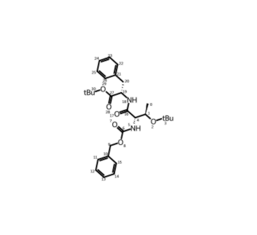 C[C@@H](OC(C)(C)C)[C@H](NC(=O)OCc1ccccc1)C(=O)N[C@@H](Cc1ccccc1)C(=O)OC(C)(C)C